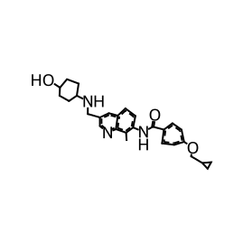 Cc1c(NC(=O)c2ccc(OCC3CC3)cc2)ccc2cc(CNC3CCC(O)CC3)cnc12